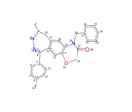 CC1=NN=C(c2ccc(F)cc2)c2cc3c(cc2C1)N(Cc1ccccc1)C(=O)CO3